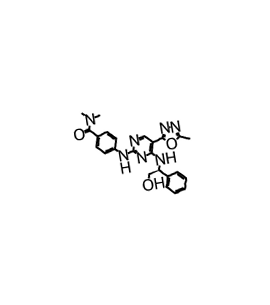 Cc1nnc(-c2cnc(Nc3ccc(C(=O)N(C)C)cc3)nc2N[C@H](CO)c2ccccc2)o1